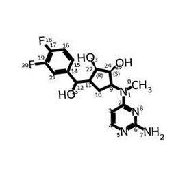 CN(c1ccnc(N)n1)C1CC(C(O)c2ccc(F)c(F)c2)[C@@H](O)[C@H]1O